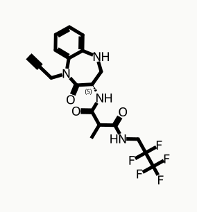 C#CCN1C(=O)[C@@H](NC(=O)C(C)C(=O)NCC(F)(F)C(F)(F)F)CNc2ccccc21